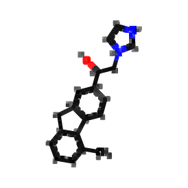 Cc1cccc2c1-c1ccc(C(=O)Cn3ccnc3)cc1C2